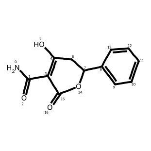 NC(=O)C1=C(O)CC(c2ccccc2)OC1=O